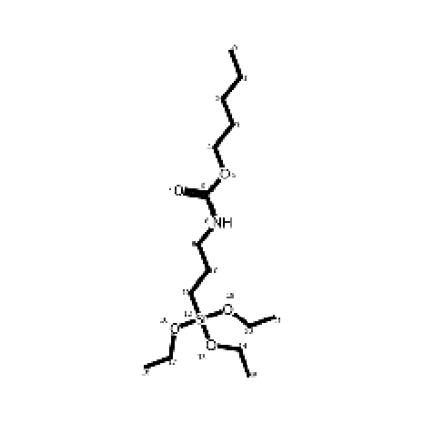 CCCCCOC(=O)NCCC[Si](OCC)(OCC)OCC